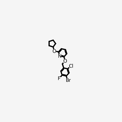 Fc1cc(COc2cccc(OC3CCCC3)n2)c(Cl)cc1Br